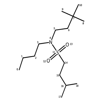 CCCCN(CCC(C)(C)C)S(=O)(=O)CCC(C)C